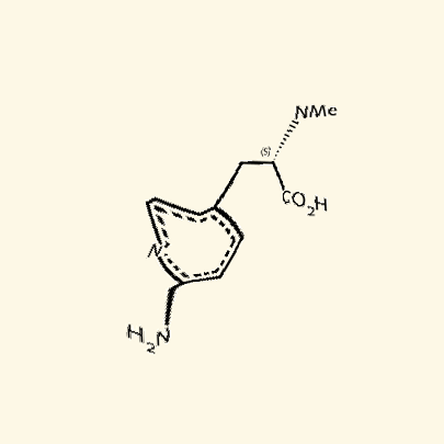 CN[C@@H](Cc1ccc(N)nc1)C(=O)O